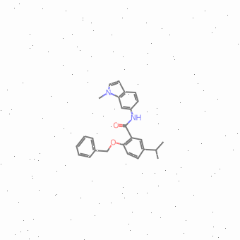 CC(C)c1ccc(OCc2ccccc2)c(C(=O)Nc2ccc3ccn(C)c3c2)c1